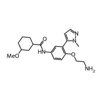 COC1CCCC(C(=O)Nc2ccc(OCCN)c(-c3ccnn3C)c2)C1